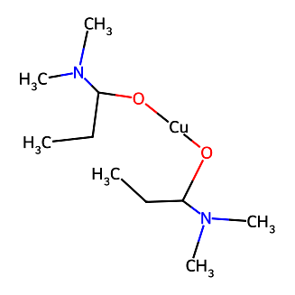 CCC([O][Cu][O]C(CC)N(C)C)N(C)C